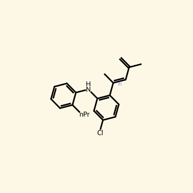 C=C(C)/C=C(\C)c1ccc(Cl)cc1Nc1ccccc1CCC